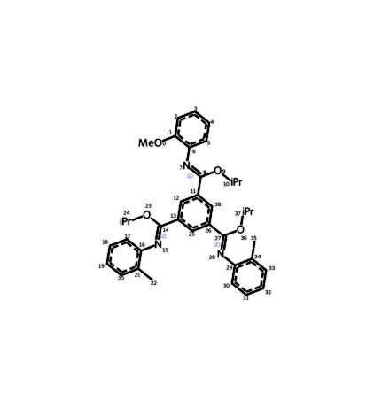 COc1ccccc1/N=C(\OC(C)C)c1cc(/C(=N/c2ccccc2C)OC(C)C)cc(/C(=N/c2ccccc2C)OC(C)C)c1